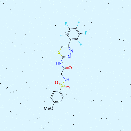 COc1ccc(S(=O)(=O)NCC(=O)NC2=NN=C(c3c(F)c(F)c(F)c(F)c3F)CS2)cc1